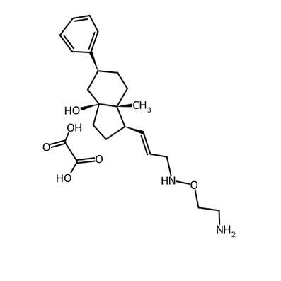 C[C@]12CC[C@H](c3ccccc3)C[C@@]1(O)CC[C@@H]2/C=C/CNOCCN.O=C(O)C(=O)O